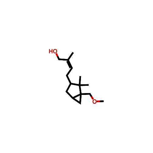 COCC12CC1CC(CC=C(C)CO)C2(C)C